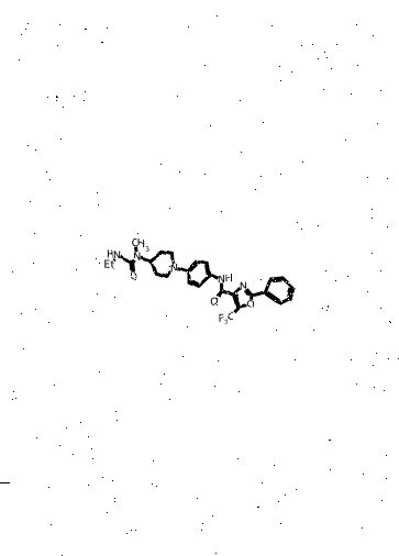 CCNC(=O)N(C)C1CCN(c2ccc(NC(=O)c3nc(-c4ccccc4)oc3C(F)(F)F)cc2)CC1